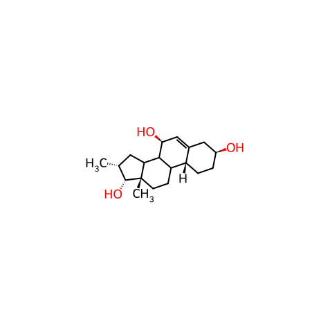 C[C@@H]1CC2C3C(CC[C@]2(C)[C@@H]1O)[C@H]1CC[C@H](O)CC1=C[C@@H]3O